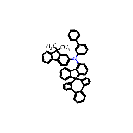 CC1(C)c2ccccc2-c2ccc(N(c3cccc(-c4ccccc4)c3)c3cccc4c3-c3ccccc3C43c4ccccc4-c4ccccc4-c4ccccc43)cc21